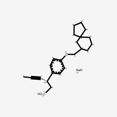 CC#C[C@@H](CC(=O)O)c1ccc(OCC2CCCC3(CCCC3)C2)cc1.[NaH]